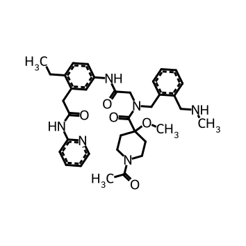 CCc1ccc(NC(=O)CN(Cc2ccccc2CNC)C(=O)C2(OC)CCN(C(C)=O)CC2)cc1CC(=O)Nc1ccccn1